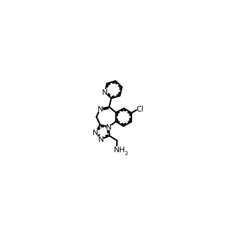 NCc1nnc2n1-c1ccc(Cl)cc1C(c1ccccn1)=NC2